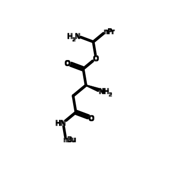 CCCCNC(=O)C[C@H](N)C(=O)OC(N)CCC